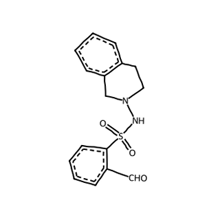 O=Cc1ccccc1S(=O)(=O)NN1CCc2ccccc2C1